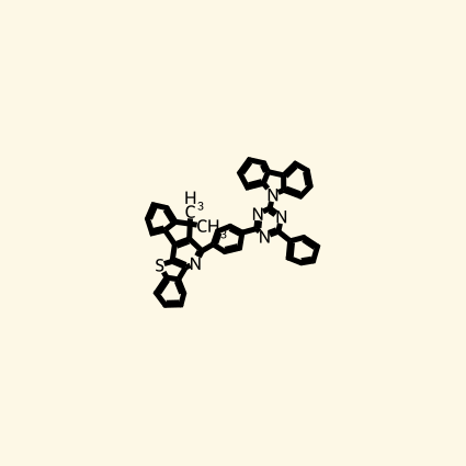 CC1(C)c2ccccc2-c2c1c(-c1ccc(-c3nc(-c4ccccc4)nc(-n4c5ccccc5c5ccccc54)n3)cc1)nc1c2sc2ccccc21